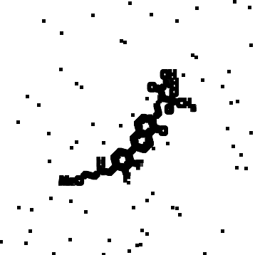 COCCNCc1ccc(-c2ccc3c(=O)n(CC[C@H](C(=O)NO)S(C)(=O)=O)ccc3c2)c(F)c1F